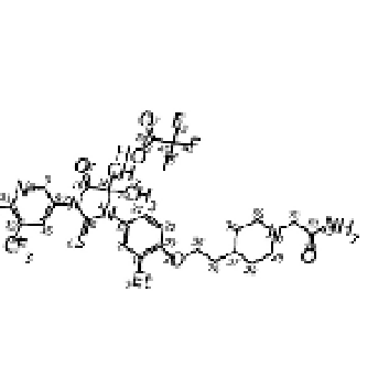 CCc1cc(N2C(=S)N(c3cnc(C#N)c(C(F)(F)F)c3)C(=O)C2(C)C)ccc1OCCC1CCN(CC(N)=O)CC1.O=C(O)C(F)(F)F